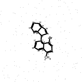 Cc1ccc(Br)c2c(C3C=Cc4ccccc43)cccc12